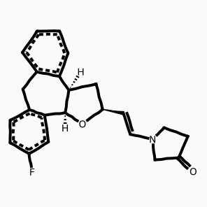 O=C1CCN(/C=C/[C@@H]2C[C@@H]3c4ccccc4Cc4ccc(F)cc4[C@@H]3O2)C1